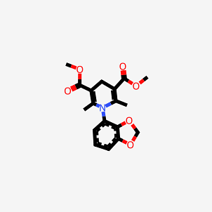 COC(=O)C1=C(C)N(c2cccc3c2OCO3)C(C)=C(C(=O)OC)C1